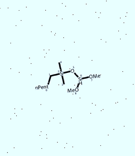 CCCCCC[Si](C)(C)O[SiH](OC)OC